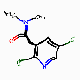 CN(C)C(=O)c1cc(Cl)cnc1Cl